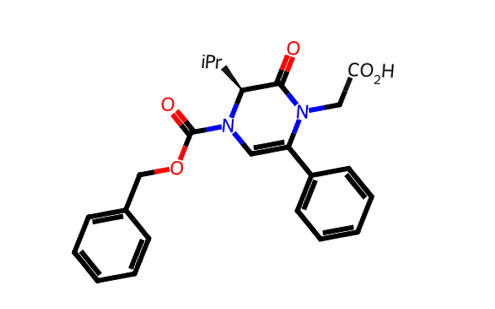 CC(C)[C@H]1C(=O)N(CC(=O)O)C(c2ccccc2)=CN1C(=O)OCc1ccccc1